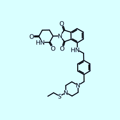 CCSN1CCN(Cc2ccc(CNc3cccc4c3C(=O)N(C3CCC(=O)NC3=O)C4=O)cc2)CC1